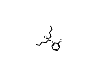 CCCCS(=O)(=O)CCCC.Clc1ccccc1